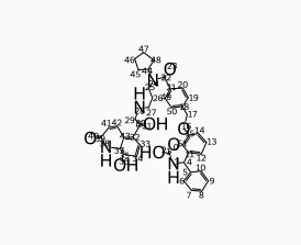 O=C(O)NC(c1ccccc1)c1cccc(OCc2ccc(C(=O)N(CCCNC[C@@H](O)c3ccc(O)c4[nH]c(=O)ccc34)C3CCCC3)cc2)c1